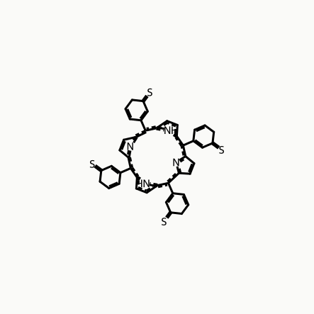 S=C1C=C(c2c3nc(c(C4=CC(=S)CC=C4)c4ccc([nH]4)c(C4=CC(=S)CC=C4)c4nc(c(C5=CC(=S)CC=C5)c5ccc2[nH]5)C=C4)C=C3)C=CC1